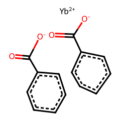 O=C([O-])c1ccccc1.O=C([O-])c1ccccc1.[Yb+2]